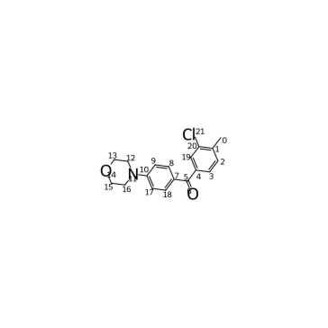 Cc1ccc(C(=O)c2ccc(N3CCOCC3)cc2)cc1Cl